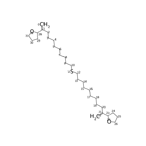 C=C(CCCCCCCCCSCCCCCCCCCC(=C)C1CCCO1)C1CCCO1